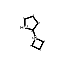 [CH]1CCNC1N1CCC1